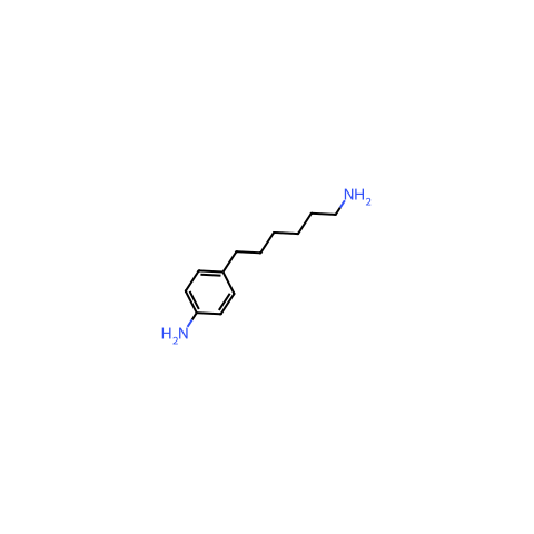 NCCCCCCc1ccc(N)cc1